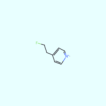 FCCC1=CC=[N+]C=C1